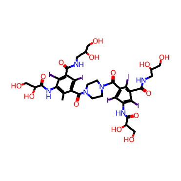 Cc1c(NC(=O)C(O)CO)c(I)c(C(=O)NCC(O)CO)c(I)c1C(=O)N1CCN(C(=O)c2c(I)c(NC(=O)C(O)CO)c(I)c(C(=O)NCC(O)CO)c2I)CC1